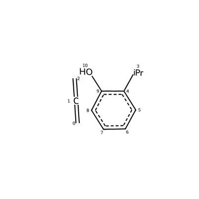 C=C=C.CC(C)c1ccccc1O